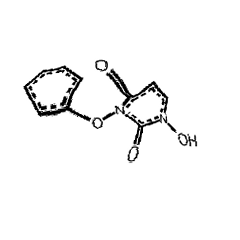 O=c1ccn(O)c(=O)n1Oc1ccccc1